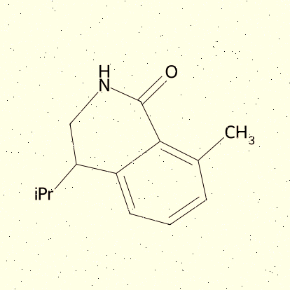 Cc1cccc2c1C(=O)NCC2C(C)C